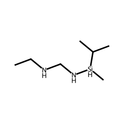 CCNCN[SiH](C)C(C)C